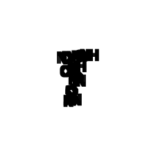 Cn1cnc2cc(-c3nccc(C(=O)Nc4cnccc4N4CCNCC4)n3)ccc21